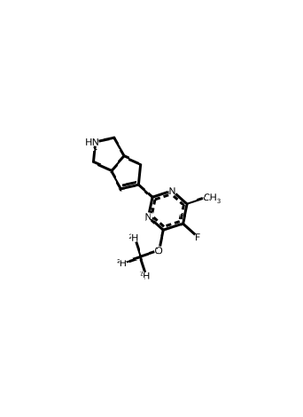 [2H]C([2H])([2H])Oc1nc(C2=CC3CNCC3C2)nc(C)c1F